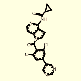 O=C(Nc1nccc2c1ccn2C(=O)c1c(Cl)cc(-c2cncnc2)cc1Cl)C1CC1